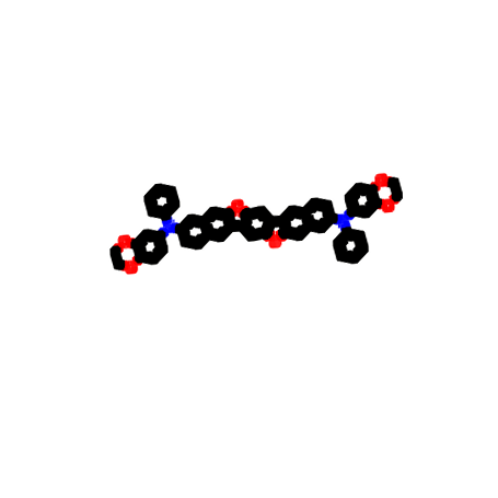 c1ccc(N(c2ccc3c(c2)OCCO3)c2ccc3cc4c(cc3c2)oc2cc3c(cc24)oc2cc4cc(N(c5ccccc5)c5ccc6c(c5)OCCO6)ccc4cc23)cc1